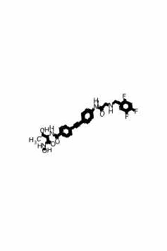 C[C@@H](O)[C@H](NC(=O)c1ccc(C#Cc2ccc(NC(=O)CNCc3cc(F)c(F)cc3F)cc2)cc1)C(=O)NO